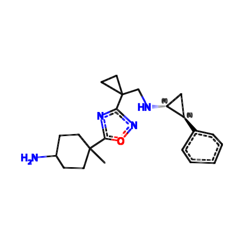 CC1(c2nc(C3(CN[C@@H]4C[C@H]4c4ccccc4)CC3)no2)CCC(N)CC1